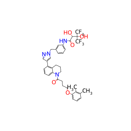 Cc1cccc(OCCCC(=O)N2CCCc3c(-c4cnn(Cc5cccc(NC(=O)C(O)C(O)(C(F)(F)F)C(F)(F)F)c5)c4)cccc32)c1C